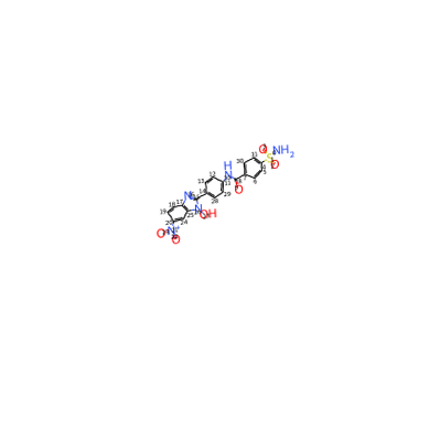 NS(=O)(=O)c1ccc(C(=O)Nc2ccc(-c3nc4ccc([N+](=O)[O-])cc4n3O)cc2)cc1